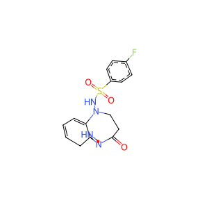 O=C1CCN(NS(=O)(=O)c2ccc(F)cc2)C2=CC=CCC23CNCCN13